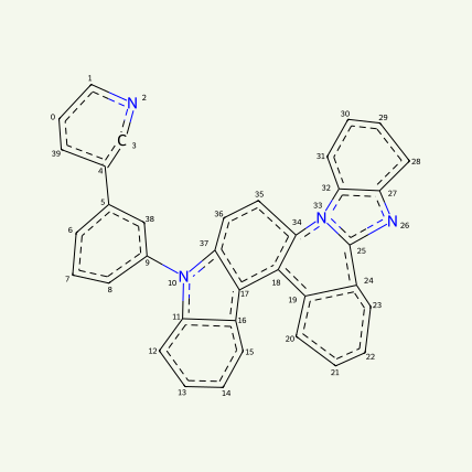 c1cncc(-c2cccc(-n3c4ccccc4c4c5c6ccccc6c6nc7ccccc7n6c5ccc43)c2)c1